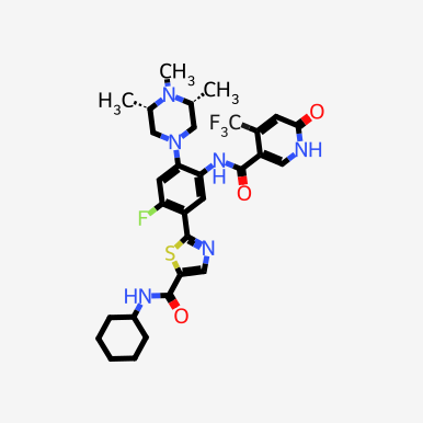 C[C@@H]1CN(c2cc(F)c(-c3ncc(C(=O)NC4CCCCC4)s3)cc2NC(=O)c2c[nH]c(=O)cc2C(F)(F)F)C[C@H](C)N1C